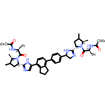 COC(=O)N[C@H](C(=O)N1[C@H](C)C(C)C[C@H]1C1=NCC(c2ccc(-c3ccc(-c4cnc([C@@H]5CC(C)[C@@H](C)N5C(=O)[C@@H](NC(=O)OC)C(C)C)[nH]4)c4c3CCC4)cc2)N1)C(C)C